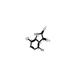 O=C1Nc2c(Cl)ccc(Br)c2C1=O